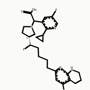 COc1cc(CCCCC(F)[C@@H]2CCN(C(C(=O)O)c3cc(F)cnc3C3CC3)C2)nc2c1CCCN2